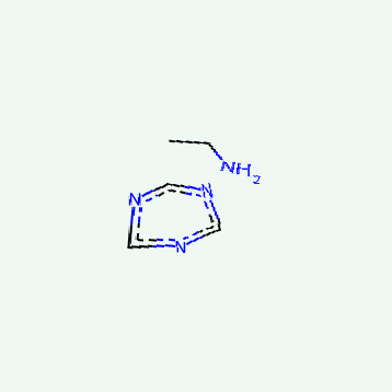 CCN.c1ncncn1